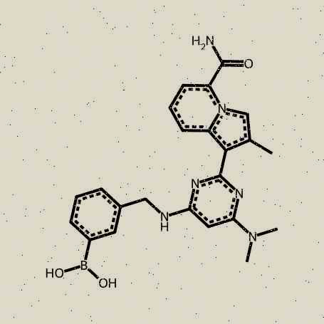 Cc1cn2c(C(N)=O)cccc2c1-c1nc(NCc2cccc(B(O)O)c2)cc(N(C)C)n1